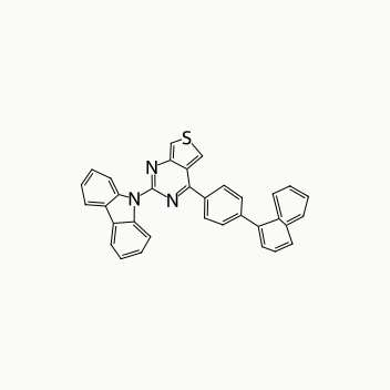 c1ccc2c(-c3ccc(-c4nc(-n5c6ccccc6c6ccccc65)nc5cscc45)cc3)cccc2c1